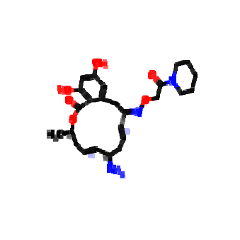 C[C@@H]1C/C=C/[C@H](N)C/C=C/C(=NOCC(=O)N2CCCCC2)Cc2cc(O)cc(O)c2C(=O)O1